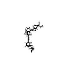 C=CC(=O)N1CCC(Nc2ncnc3[nH]c(C#Cc4cccc(OC(F)(F)F)c4)cc23)C1